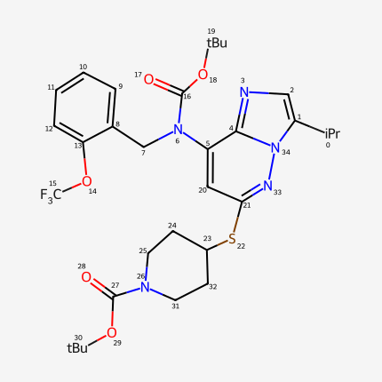 CC(C)c1cnc2c(N(Cc3ccccc3OC(F)(F)F)C(=O)OC(C)(C)C)cc(SC3CCN(C(=O)OC(C)(C)C)CC3)nn12